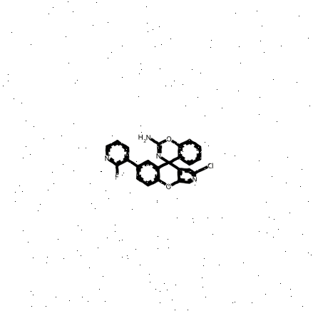 NC1=NC2(c3ccccc3O1)c1cc(-c3cccnc3F)ccc1Oc1cnc(Cl)cc12